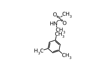 CNS(C)(=O)=O.Cc1cc(C)cc(C)c1